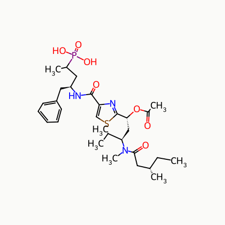 CC[C@H](C)CC(=O)N(C)[C@H](C[C@@H](OC(C)=O)c1nc(C(=O)N[C@@H](Cc2ccccc2)CC(C)P(=O)(O)O)cs1)C(C)C